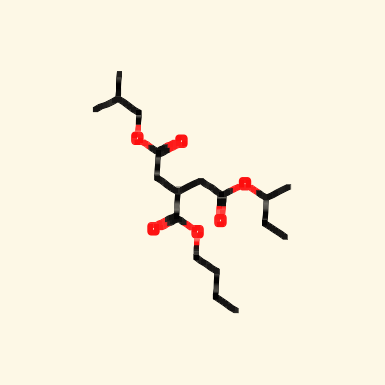 CCCCOC(=O)[C](CC(=O)OCC(C)C)CC(=O)OC(C)CC